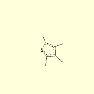 [CH2]c1sc(C)c(C)c1C